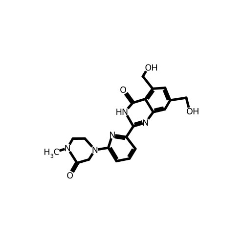 CN1CCN(c2cccc(-c3nc4cc(CO)cc(CO)c4c(=O)[nH]3)n2)CC1=O